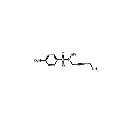 CCCN(CC#CCN)S(=O)(=O)c1ccc([N+](=O)[O-])cc1